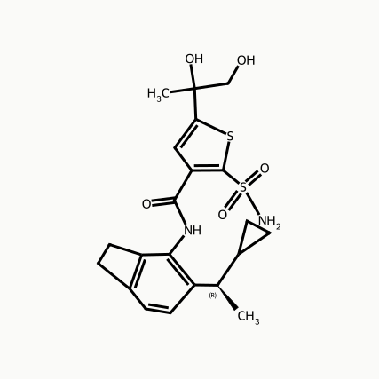 C[C@@H](c1ccc2c(c1NC(=O)c1cc(C(C)(O)CO)sc1S(N)(=O)=O)CC2)C1CC1